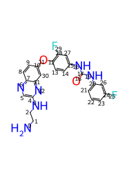 NCCNc1cnc2ccc(Oc3ccc(NC(=O)Nc4cccc(F)c4)cc3F)cc2n1